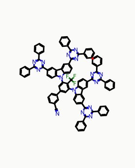 N#Cc1cccc(-c2cc(-n3c4ccc(-c5nc(-c6ccccc6)nc(-c6ccccc6)n5)cc4c4cc(-c5nc(-c6ccccc6)nc(-c6ccccc6)n5)ccc43)c(C(F)(F)F)c(-n3c4ccc(-c5nc(-c6ccccc6)nc(-c6ccccc6)n5)cc4c4cc(-c5nc(-c6ccccc6)nc(-c6ccccc6)n5)ccc43)c2)c1